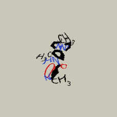 Cc1cc(C(=O)Nc2ccc([N+]3(N4CCC[C@@H]4C)CCCC3)cc2C)on1